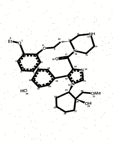 CCOc1ccccc1OCC[C@@H]1CNCCN1C(=O)c1ncn([C@@H]2CCCC[C@@]2(O)COC)c1-c1ccccc1.Cl